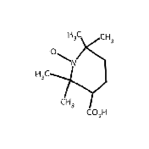 CC1(C)CCC(C(=O)O)C(C)(C)N1[O]